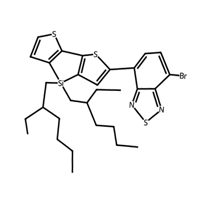 CCCCC(CC)C[Si]1(CC(CC)CCCC)c2ccsc2-c2sc(-c3ccc(Br)c4nsnc34)cc21